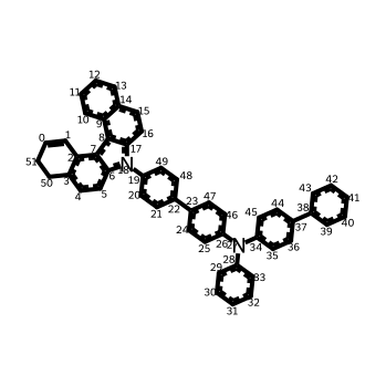 C1=Cc2c(ccc3c2c2c4ccccc4ccc2n3-c2ccc(-c3ccc(N(c4ccccc4)c4ccc(-c5ccccc5)cc4)cc3)cc2)CC1